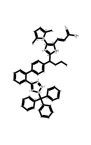 CCCC(c1ccc(-c2ccccc2-c2nnn(C(c3ccccc3)(c3ccccc3)c3ccccc3)n2)cc1)c1nc(-n2c(C)ccc2C)c(/C=C/C(=O)O)[nH]1